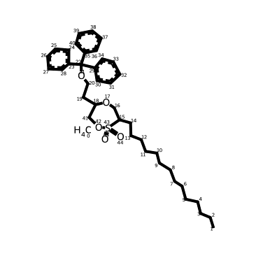 C.CCCCCCCCCCCCCCC1COC(CCOC(c2ccccc2)(c2ccccc2)c2ccccc2)COS1(=O)=O